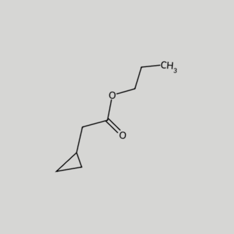 CCCOC(=O)CC1CC1